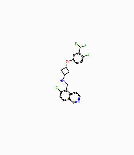 Fc1ccc(O[C@H]2C[C@H](NCc3c(F)ccc4cnccc34)C2)cc1C(F)F